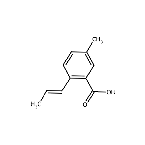 CC=Cc1ccc(C)cc1C(=O)O